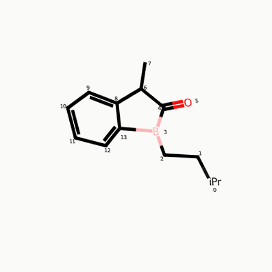 CC(C)CCB1C(=O)C(C)c2ccccc21